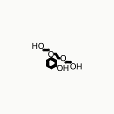 OCCOCCOCCO.Oc1ccccc1